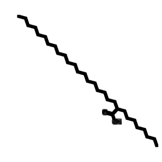 CCCCCCCCCCCCCCCCCCCCC(CCCCCCCC)C(=O)O